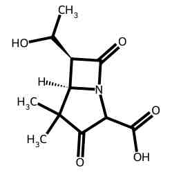 CC(O)[C@H]1C(=O)N2C(C(=O)O)C(=O)C(C)(C)[C@@H]12